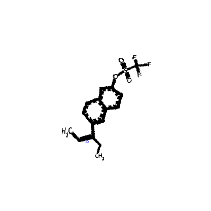 C/C=C(/CC)c1ccc2cc(OS(=O)(=O)C(F)(F)F)ccc2c1